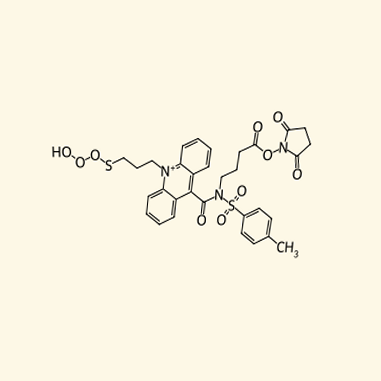 Cc1ccc(S(=O)(=O)N(CCCC(=O)ON2C(=O)CCC2=O)C(=O)c2c3ccccc3[n+](CCCSOOO)c3ccccc23)cc1